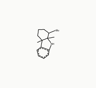 CCCCC1CCCC2(C)c3ccccc3NC12C